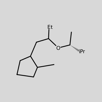 CCC(CC1CCCC1C)O[C@H](C)C(C)C